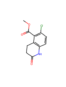 COC(=O)c1c(Cl)ccc2c1CCC(=O)N2